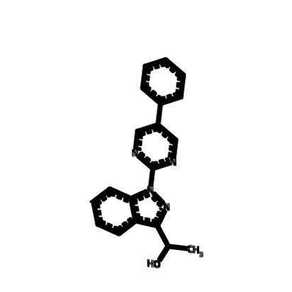 CC(O)c1nn(-c2ncc(-c3ccccc3)cn2)c2c[c]ccc12